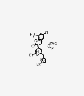 CC(C)OC=O.CCC1CC(N(Cc2cc(Cl)cc(C(F)(F)F)c2)C(=O)OC)CC(Cc2ccn(CC)n2)N1